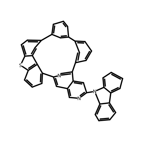 c1cc2cc(c1)c1ccc3sc4cccc(c5cc6cnc(-n7c8ccccc8c8ccccc87)cc6c(n5)c5cccc2c5)c4c3c1